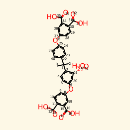 CC(C)(c1ccc(Oc2ccc(C(=O)O)c(C(=O)O)c2)cc1)c1ccc(Oc2ccc(C(=O)O)c(C(=O)O)c2)cc1.O.O